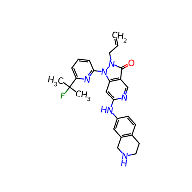 C=CCn1c(=O)c2cnc(Nc3ccc4c(c3)CNCC4)cc2n1-c1cccc(C(C)(C)F)n1